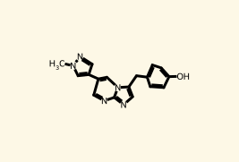 Cn1cc(-c2cnc3ncc(Cc4ccc(O)cc4)n3c2)cn1